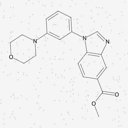 COC(=O)c1ccc2c(c1)ncn2-c1cccc(N2CCOCC2)c1